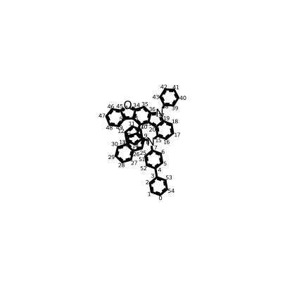 c1ccc(-c2ccc(N(c3ccccc3)c3cccc4c3c3c(-c5ccc6ccccc6c5)c5c(cc3n4-c3ccccc3)oc3ccccc35)cc2)cc1